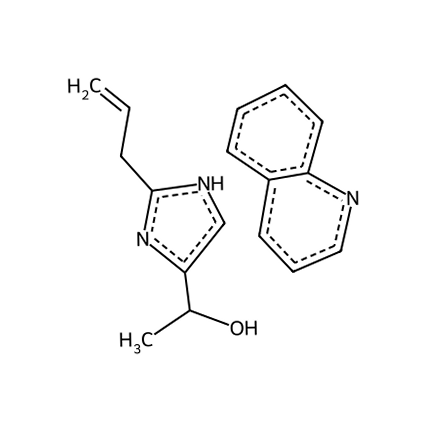 C=CCc1nc(C(C)O)c[nH]1.c1ccc2ncccc2c1